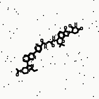 CCc1nc(-c2cccc3cc(-c4ccc(C(=O)NCC(=O)NC5CC(C)(C)Oc6c5ccc5c6CN(C6CCC(=O)NC6=O)C5=O)nc4)ncc23)c2n1CCN(C(C)=O)C2